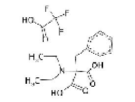 CCN(CC)C(Cc1ccccc1)(C(=O)O)C(=O)O.O=C(O)C(F)(F)F